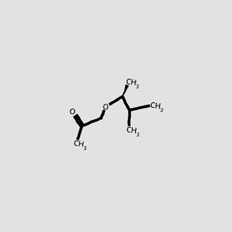 CC(=O)CO[C@@H](C)C(C)C